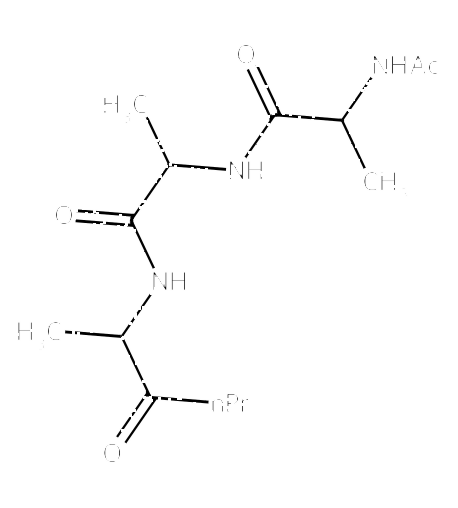 CCCC(=O)C(C)NC(=O)C(C)NC(=O)C(C)NC(C)=O